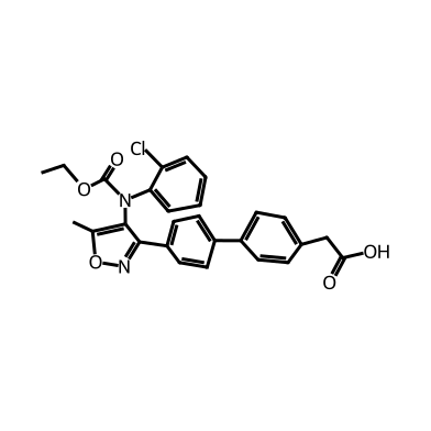 CCOC(=O)N(c1ccccc1Cl)c1c(-c2ccc(-c3ccc(CC(=O)O)cc3)cc2)noc1C